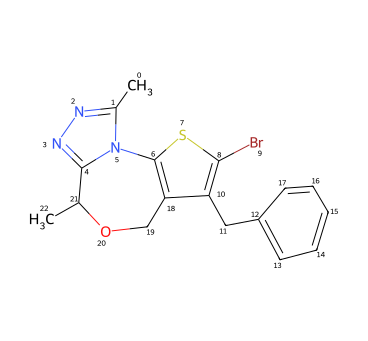 Cc1nnc2n1-c1sc(Br)c(Cc3ccccc3)c1COC2C